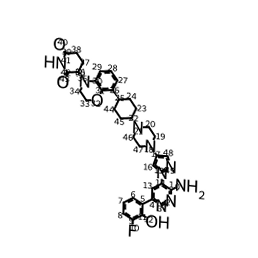 Nc1nnc(-c2cccc(F)c2O)cc1-n1cc(N2CCN([C@H]3CC[C@H](c4cccc5c4OCCN5[C@@H]4CCC(=O)NC4=O)CC3)CC2)cn1